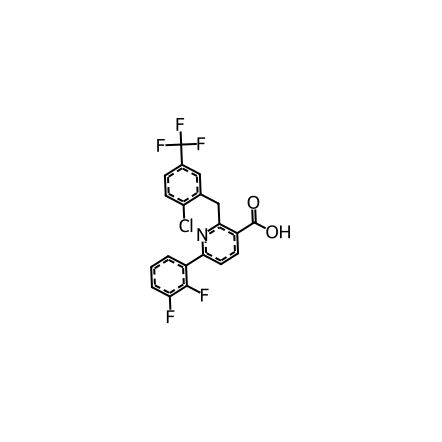 O=C(O)c1ccc(-c2cccc(F)c2F)nc1Cc1cc(C(F)(F)F)ccc1Cl